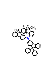 CC1(C)c2ccccc2-c2ccc(N(c3ccc4c(c3)-c3ccccc3C4(c3ccccc3)c3ccccc3)c3cccc4c3-c3ccccc3C4(C)C)cc21